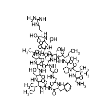 CC[C@H](C)[C@H](NC(=O)CNC(=O)[C@H](Cc1ccccc1)NC(=O)CNC(=O)CNC(=O)[C@H](CO)NC(=O)[C@H](CO)NC(=O)[C@@H](NC(=O)[C@@H]1CCCN1C(=O)[C@@H](NC(=O)CN)C(C)C)[C@@H](C)CC)C(=O)N[C@@H](CO)C(=O)NCC(=O)N[C@@H](CC(C)C)C(=O)NCC(=O)N[C@@H](CO)C(=O)N[C@@H](CCCNC(=N)N)C(=O)O